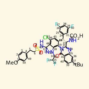 COc1ccc(CCS(=O)(=O)Nc2nn(CC(F)F)c3c(-n4c([C@H](Cc5cc(F)cc(F)c5)NC(=O)O)nc5cc(C(C)(C)C)ccc5c4=O)ccc(Cl)c23)cc1